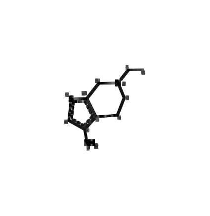 CCN1CCc2c(N)csc2C1